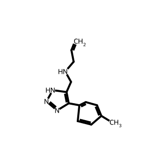 C=CCNCc1[nH]nnc1-c1ccc(C)cc1